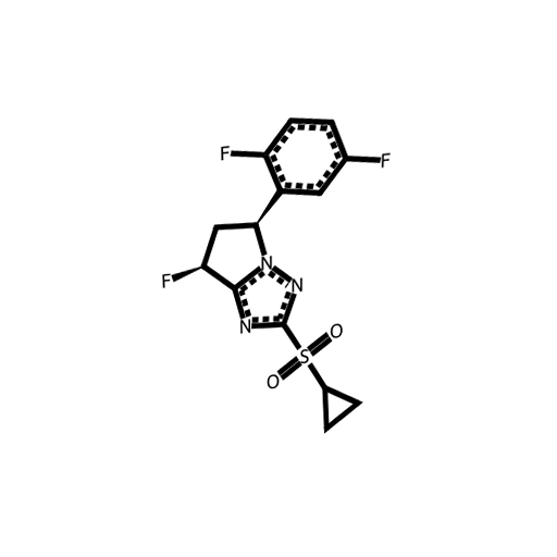 O=S(=O)(c1nc2n(n1)[C@H](c1cc(F)ccc1F)C[C@@H]2F)C1CC1